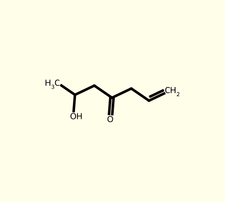 C=CCC(=O)CC(C)O